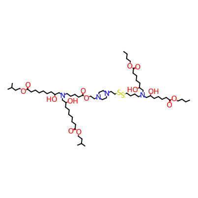 CCCCOC(=O)CCCCC(O)CN(CCCCSSCCN1CCN(CCOC(=O)CCCCN(CC(O)CCCCCCC(=O)OCCC(C)C)CC(O)CCCCCCC(=O)OCCC(C)C)CC1)CC(O)CCCCC(=O)OCCCC